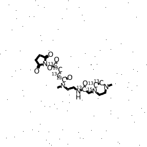 CN1CC[15N](C[13C](=O)NCCN(C)[13C](=O)[13CH2][13CH2][13C](=O)ON2C(=O)CCC2=O)[13CH2][13CH2]1